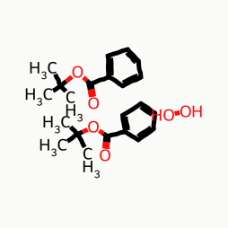 CC(C)(C)OC(=O)c1ccccc1.CC(C)(C)OC(=O)c1ccccc1.OO